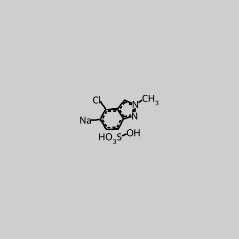 Cn1cc2c(Cl)[c]([Na])ccc2n1.O=S(=O)(O)O